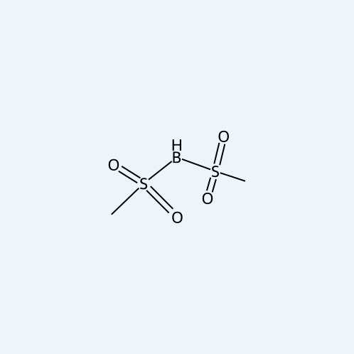 CS(=O)(=O)BS(C)(=O)=O